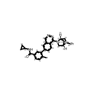 Cc1ccc(C(=O)NC2CC2)cc1-c1ccc2c(N3C[C@@H]4C[C@H]3CN4C(C)C)nncc2c1